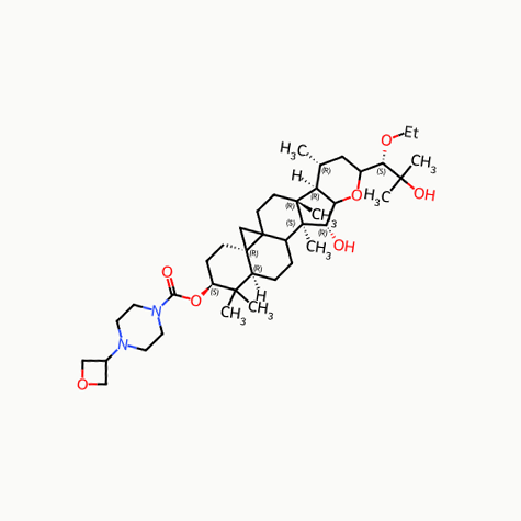 CCO[C@@H](C1C[C@@H](C)[C@H]2C(O1)[C@H](O)[C@@]1(C)C3CC[C@H]4C(C)(C)[C@@H](OC(=O)N5CCN(C6COC6)CC5)CC[C@@]45CC35CC[C@]21C)C(C)(C)O